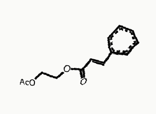 CC(=O)OCCOC(=O)/C=C/c1ccccc1